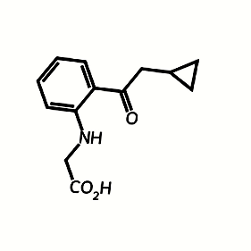 O=C(O)CNc1ccccc1C(=O)CC1CC1